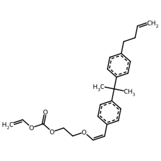 C=CCCc1ccc(C(C)(C)c2ccc(/C=C\OCCOC(=O)OC=C)cc2)cc1